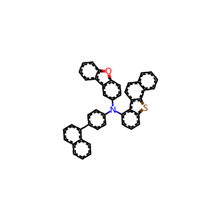 c1ccc2c(-c3ccc(N(c4ccc5oc6ccccc6c5c4)c4cccc5sc6c7ccccc7ccc6c45)cc3)cccc2c1